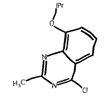 Cc1nc(Cl)c2cccc(OC(C)C)c2n1